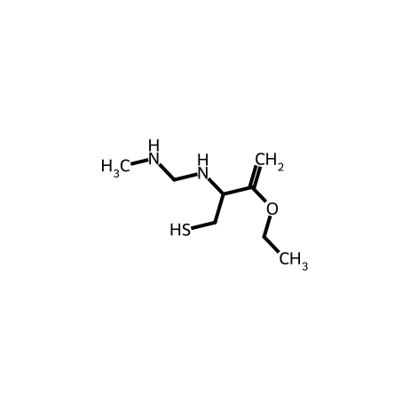 C=C(OCC)C(CS)NCNC